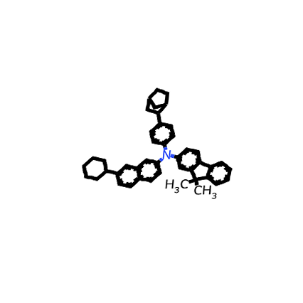 CC1(C)c2ccccc2-c2ccc(N(c3ccc(C4CC5CCC4C5)cc3)c3ccc4ccc(C5CCCCC5)cc4c3)cc21